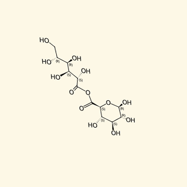 O=C(OC(=O)[C@H]1O[C@@H](O)[C@H](O)[C@@H](O)[C@@H]1O)[C@@H](O)[C@@H](O)[C@H](O)[C@H](O)CO